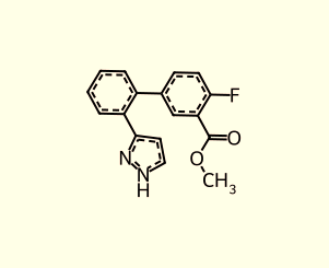 COC(=O)c1cc(-c2ccccc2-c2cc[nH]n2)ccc1F